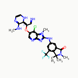 CNC1=NC=CN/C1=C(\C=N)Oc1cnc2nc(Nc3cc4c(c(C(F)(F)F)c3)C(C)(C)N(C)C4=O)n(C)c2c1Cl